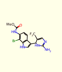 COC(=O)Nc1ccc2c(C3NC(N)=NC=C3C(F)(F)F)c[nH]c2c1Br